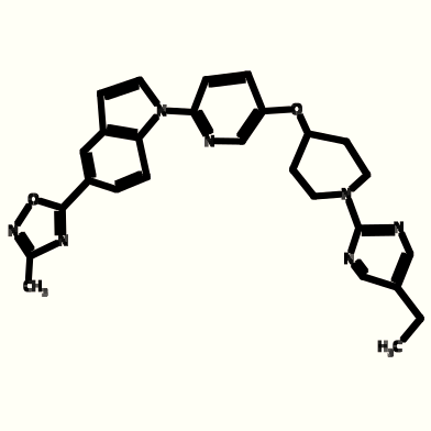 CCc1cnc(N2CCC(Oc3ccc(-n4ccc5cc(-c6nc(C)no6)ccc54)nc3)CC2)nc1